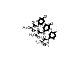 CN(C)C(=O)Nc1ccc(Cl)cc1.CN(C)C(=O)Nc1ccc(Cl)cc1.CON(C)C(=O)Nc1ccc(Cl)cc1